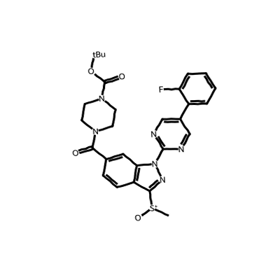 C[S+]([O-])c1nn(-c2ncc(-c3ccccc3F)cn2)c2cc(C(=O)N3CCN(C(=O)OC(C)(C)C)CC3)ccc12